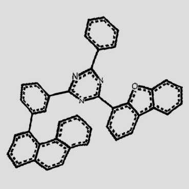 c1ccc(-c2nc(-c3cccc(-c4cccc5ccc6ccccc6c45)c3)nc(-c3cccc4c3oc3ccccc34)n2)cc1